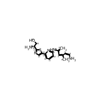 C=C(/C=C(C)\C=C/N)Nc1cccc(-c2cnc([C@@H](N)CO)s2)n1